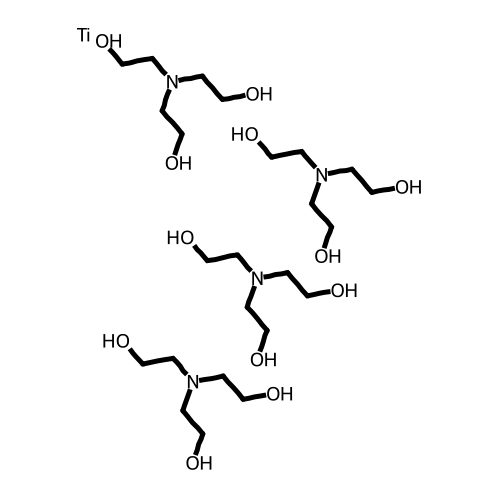 OCCN(CCO)CCO.OCCN(CCO)CCO.OCCN(CCO)CCO.OCCN(CCO)CCO.[Ti]